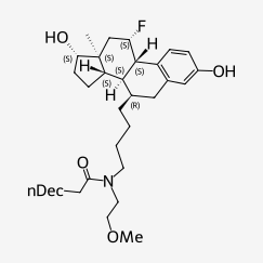 CCCCCCCCCCCC(=O)N(CCCC[C@@H]1Cc2cc(O)ccc2[C@@H]2[C@@H]1[C@@H]1CC[C@H](O)[C@@]1(C)C[C@@H]2F)CCOC